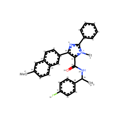 CCn1c(-c2ccccc2)nc(-c2ccc3cc(OC)ccc3c2)c1C(=O)NC(C)c1ccc(F)cc1